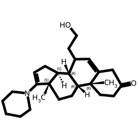 C[C@]12CCC(=O)CC1=CC(CCO)[C@@H]1[C@H]2CC[C@]2(C)C(N3CCCCC3)=CC[C@@H]12